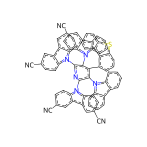 N#Cc1ccc2c(c1)c1cc(C#N)ccc1n2-c1nc(-n2c3ccc(C#N)cc3c3cc(C#N)ccc32)c(-n2c3ccccc3c3ccccc32)c(-c2cccc3sc4ccccc4c23)c1-n1c2ccccc2c2ccccc21